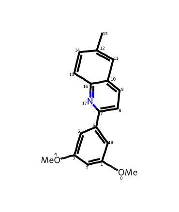 COc1cc(OC)cc(-c2ccc3cc(C)ccc3n2)c1